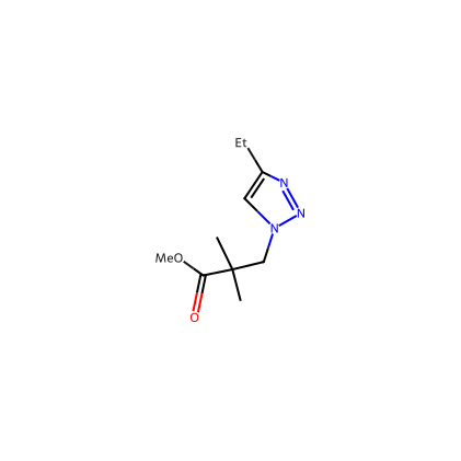 CCc1cn(CC(C)(C)C(=O)OC)nn1